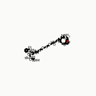 CC[C@H](NC(=O)[C@H]1C[C@@H](NC(=O)CCOCCOCCOCCOCCC(=O)NCCn2nc3c(c2C)-c2cnc(N)c(c2)N2CCC[C@@H]2c2cc(F)ccc2C(=O)N(C)C3)CN1C(=O)[C@H](NC(=O)[C@@H](C)NC)C(C)(C)C)c1ccccc1